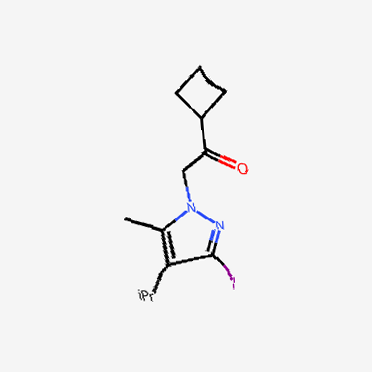 Cc1c(C(C)C)c(I)nn1CC(=O)C1CCC1